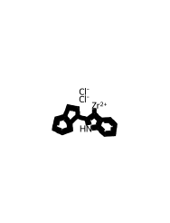 [Cl-].[Cl-].[Zr+2][c]1c(C2C=Cc3ccccc32)[nH]c2ccccc12